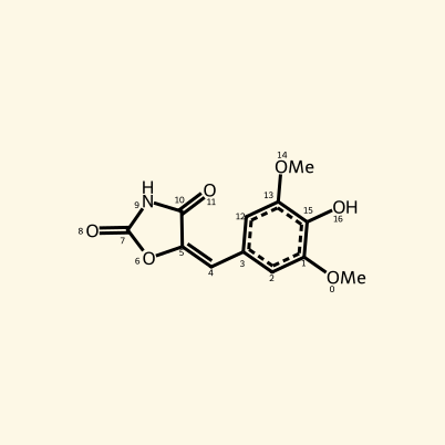 COc1cc(C=C2OC(=O)NC2=O)cc(OC)c1O